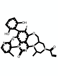 C=CC(=O)N1CC(C)N2c3nc(=O)n(-c4c(C)ccnc4C(C)C)c4c(F)c(-c5c(O)cccc5O)c(F)c(c34)OCC2C1